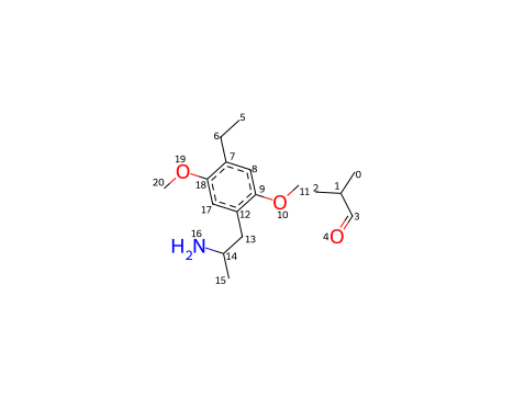 CC(C)C=O.CCc1cc(OC)c(CC(C)N)cc1OC